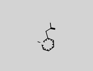 NC(=O)[CH]c1cccc[n+]1[O-]